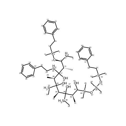 C[SiH2][C@H](O[Si](C)(C)CCc1ccccc1)[C@H](C)C(O)([SiH2]CCc1ccccc1)[C@H](C)C(O)([SiH2]C)[C@H](C)C(O)([SiH2]C)[C@H](C)C(O)[Si](C)(C)O[Si](C)(C)O[Si](C)(C)CCc1ccccc1